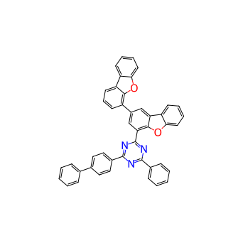 c1ccc(-c2ccc(-c3nc(-c4ccccc4)nc(-c4cc(-c5cccc6c5oc5ccccc56)cc5c4oc4ccccc45)n3)cc2)cc1